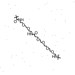 CC(C)(C)NCCOCCOCCOCCOCCC(=O)NCCOCCOCCNC(=O)C(C)(C)C